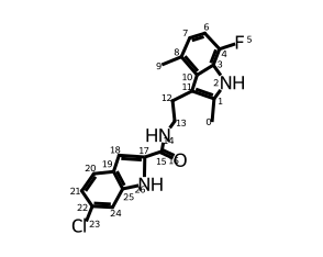 Cc1[nH]c2c(F)ccc(C)c2c1CCNC(=O)c1cc2ccc(Cl)cc2[nH]1